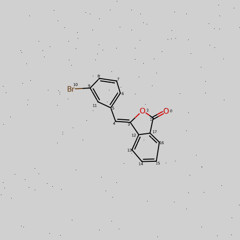 O=C1OC(=Cc2cccc(Br)c2)c2ccccc21